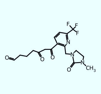 CN1CCN(Cc2nc(C(F)(F)F)ccc2C(=O)CC(=O)CCCC=O)C1=O